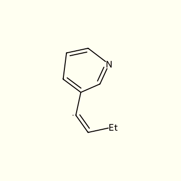 CC/C=[C]\c1cccnc1